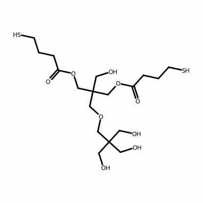 O=C(CCCS)OCC(CO)(COCC(CO)(CO)CO)COC(=O)CCCS